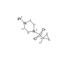 CC(C)N1CCN(S(=O)(=O)C2(C)CC2)CC1